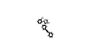 Clc1ccccc1[C@H]1OCN[C@@H]1c1cncc(C#Cc2ccccc2)c1